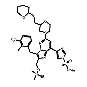 CNS(=O)(=O)n1cnc(-c2cc(N3CCOC(COC4CCCCO4)C3)nn3c(Cc4cccc(C(F)(F)F)c4C)c(CO[Si](C)(C)C(C)(C)C)nc23)c1